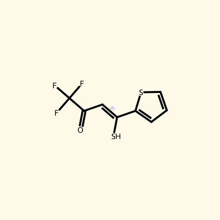 O=C(/C=C(\S)c1cccs1)C(F)(F)F